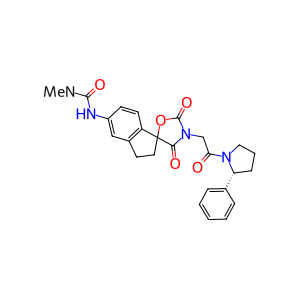 CNC(=O)Nc1ccc2c(c1)CCC21OC(=O)N(CC(=O)N2CCC[C@@H]2c2ccccc2)C1=O